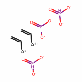 C=[CH][Zr+3].C=[CH][Zr+3].O=[PH]([O-])[O-].O=[PH]([O-])[O-].O=[PH]([O-])[O-]